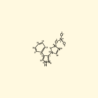 O=[N+]([O-])ON1CN(c2n[nH]cc2-c2ccccc2)C=N1